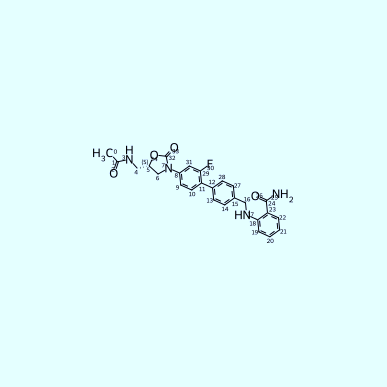 CC(=O)NC[C@H]1CN(c2ccc(-c3ccc(CNc4ccccc4C(N)=O)cc3)c(F)c2)C(=O)O1